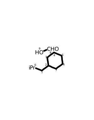 CC(C)CC1CCCCC1.O=CO